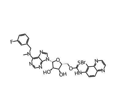 CN(Cc1cccc(F)c1)c1ncnc2c1ncn2[C@@H]1O[C@H](COC(=S)Nc2ccc3nccnc3c2Br)[C@@H](O)[C@H]1O